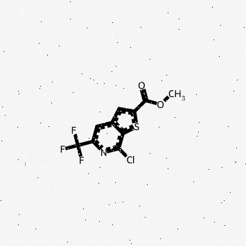 COC(=O)c1cc2cc(C(F)(F)F)nc(Cl)c2s1